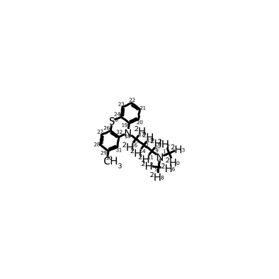 [2H]C([2H])([2H])N(C([2H])([2H])[2H])C([2H])([2H])C([2H])([2H])C([2H])([2H])N1c2ccccc2Sc2ccc(C)cc21